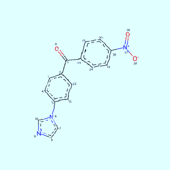 O=C(c1ccc(-n2ccnc2)cc1)c1ccc([N+](=O)[O-])cc1